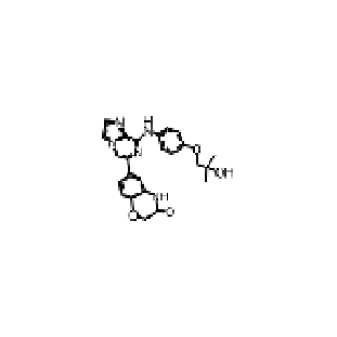 CC(C)(O)COc1ccc(Nc2nc(-c3ccc4c(c3)NC(=O)CO4)cn3ccnc23)cc1